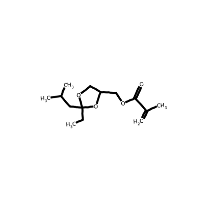 C=C(C)C(=O)OCC1COC(CC)(CC(C)C)O1